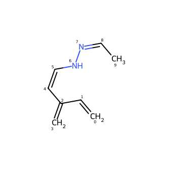 C=CC(=C)/C=C\N/N=C\C